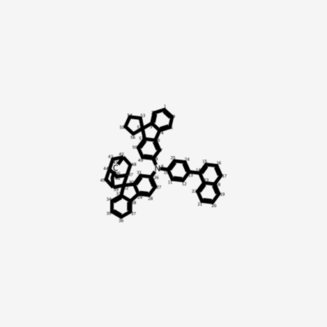 c1ccc2c(c1)-c1cc(N(c3ccc(-c4cccc5ccccc45)cc3)c3ccc4c(c3)C3(c5ccccc5-4)C4CCC5CC(C4)CC3C5)ccc1C21CCCC1